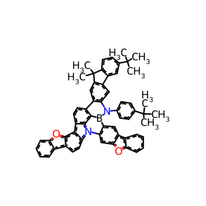 CC(C)(C)c1ccc(N2B3c4cc5c(cc4-n4c6ccc7c8ccccc8oc7c6c6ccc(c3c64)-c3cc4c(cc32)-c2cc(C(C)(C)C)ccc2C4(C)C)oc2ccccc25)cc1